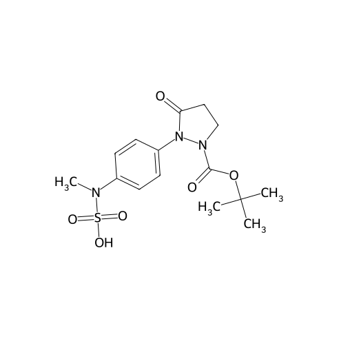 CN(c1ccc(N2C(=O)CCN2C(=O)OC(C)(C)C)cc1)S(=O)(=O)O